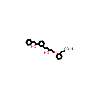 O=C(O)CCc1ccccc1OCCC(O)CCc1cccc(C(O)Cc2ccccc2)c1